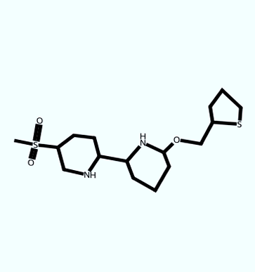 CS(=O)(=O)C1CCC(C2CCCC(OCC3CCCS3)N2)NC1